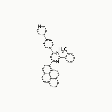 Cc1ccccc1-c1nc(-c2ccc(-c3ccncc3)cc2)cc(-c2ccc3ccc4cccc5ccc2c3c45)n1